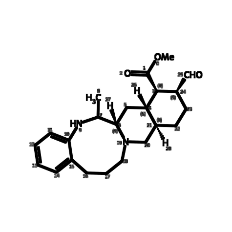 COC(=O)[C@@H]1[C@H]2C[C@H]3C(C)Nc4ccccc4CCCN3C[C@@H]2CC[C@@H]1C=O